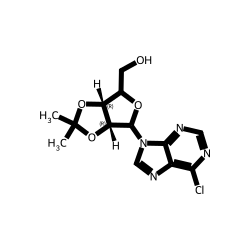 CC1(C)O[C@@H]2C(CO)OC(n3cnc4c(Cl)ncnc43)[C@@H]2O1